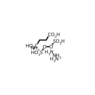 N.N.N.N.O=C(O)CCC(=O)O.O=S(=O)(O)OOS(=O)(=O)O